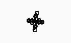 O=C1C2=C(c3ccc(Cl)cc3)N(Cc3ccccc3)C(=O)C2=C(c2ccc(Cl)cc2)N1Cc1ccccc1